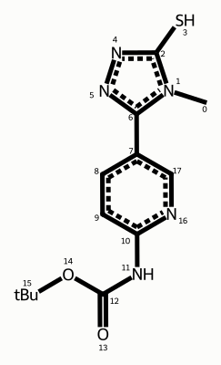 Cn1c(S)nnc1-c1ccc(NC(=O)OC(C)(C)C)nc1